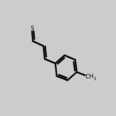 Cc1ccc(C=CC=S)cc1